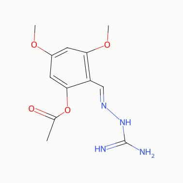 COc1cc(OC)c(C=NNC(=N)N)c(OC(C)=O)c1